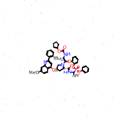 CCCC(NC(=O)[C@@H]1C[C@@H](Oc2cc(-c3ccccc3)nc3cc(OC)ccc23)CN1C(=O)[C@@H](NC(=O)OC1CCCC1)C(C)(C)C)P(=O)(Oc1ccccc1)Oc1ccccc1